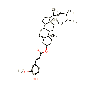 COc1cc(/C=C/C(=O)OC2CCC3(C)C(=CCC4C3CCC3(C)C(C(C)/C=C/C(C)C(C)C)CCC43)C2)ccc1O